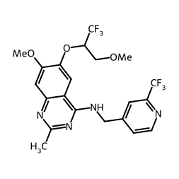 COCC(Oc1cc2c(NCc3ccnc(C(F)(F)F)c3)nc(C)nc2cc1OC)C(F)(F)F